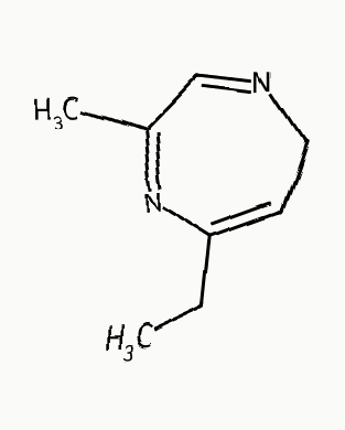 CCC1=CCN=CC(C)=N1